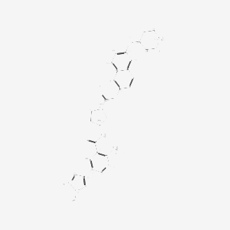 Cn1cc(-c2cnc(N)c(C(=O)N[C@@H]3CCN(C(=O)Oc4ccc5cc(OC6CCNCC6)ccc5c4)C3)c2)cn1